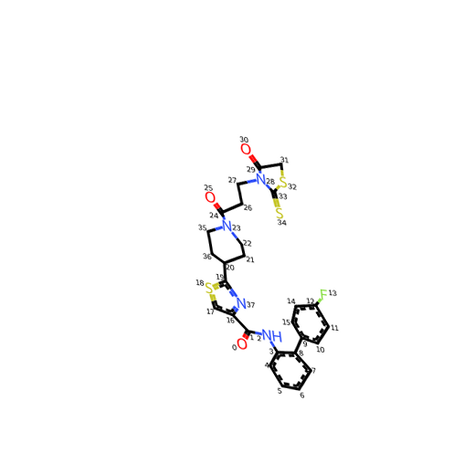 O=C(Nc1ccccc1-c1ccc(F)cc1)c1csc(C2CCN(C(=O)CCN3C(=O)CSC3=S)CC2)n1